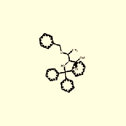 COC(=O)[C@@H](NC(c1ccccc1)(c1ccccc1)c1ccccc1)C(C)OCc1ccccc1